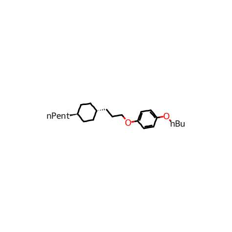 CCCCC[C@H]1CC[C@H](CCCOc2ccc(OCCCC)cc2)CC1